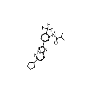 CC(C)C(=O)N(C)c1cc(-c2cn3nc(C4CCCC4)ccc3n2)ccc1C(F)(F)F